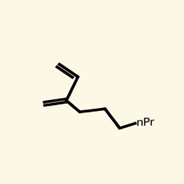 C=CC(=C)CCCCCC